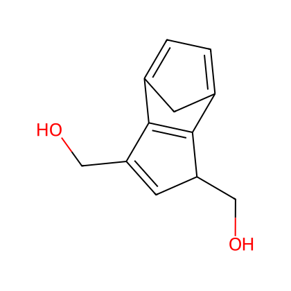 OCC1=CC(CO)C2=C1C1=CC=C2C1